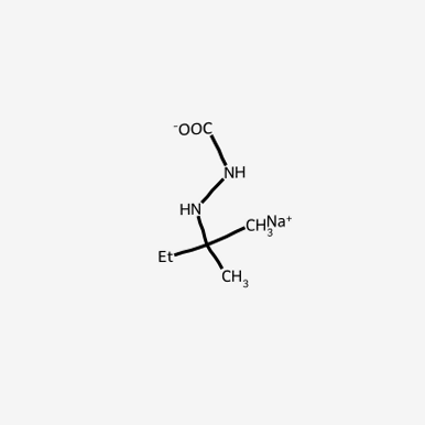 CCC(C)(C)NNC(=O)[O-].[Na+]